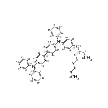 CCCCCCC(CC)Oc1ccc(N(c2ccccc2)c2ccc(-c3ccc(N(c4ccccc4)c4ccccc4)cc3)cc2)cc1